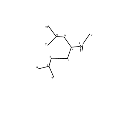 CNC(CCC(C)C)CC(C)C